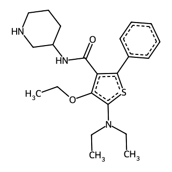 CCOc1c(N(CC)CC)sc(-c2ccccc2)c1C(=O)NC1CCCNC1